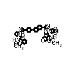 COC(=O)NC(C(=O)N1CCC[C@H]1c1ncc(-c2ccc(-c3ccc4cc(-c5cnc([C@@H]6CC7(CN6C(=O)[C@@H](NC(=O)OC)C6CCOCC6)OCCO7)[nH]5)ccc4c3)cc2)[nH]1)c1ccccc1